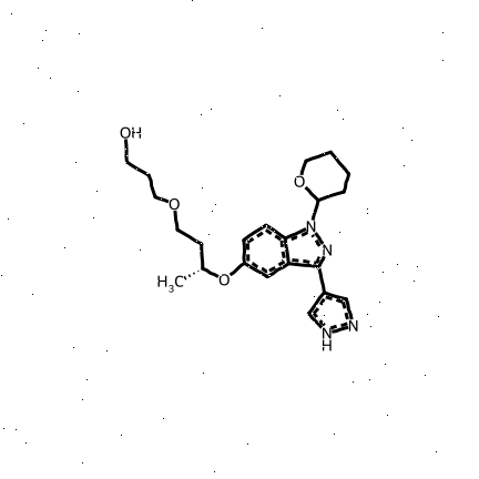 C[C@H](CCOCCCO)Oc1ccc2c(c1)c(-c1cn[nH]c1)nn2C1CCCCO1